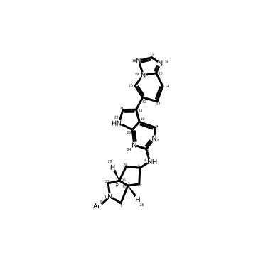 CC(=O)N1C[C@H]2CC(Nc3ncc4c(-c5ccc6ncnn6c5)c[nH]c4n3)C[C@H]2C1